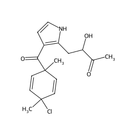 CC(=O)C(O)Cc1[nH]ccc1C(=O)C1(C)C=CC(C)(Cl)C=C1